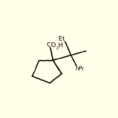 CCCC(C)(CC)C1(C(=O)O)CCCC1